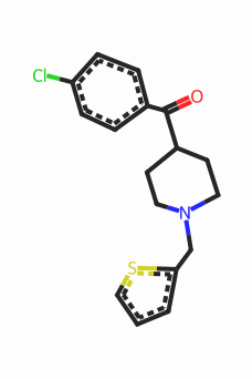 O=C(c1ccc(Cl)cc1)C1CCN(Cc2cccs2)CC1